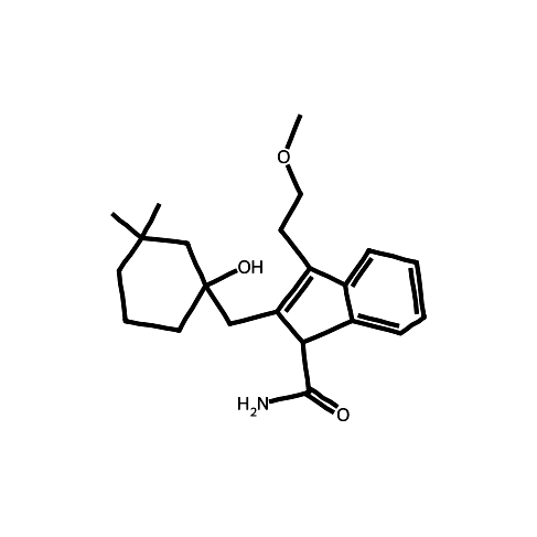 COCCC1=C(CC2(O)CCCC(C)(C)C2)C(C(N)=O)c2ccccc21